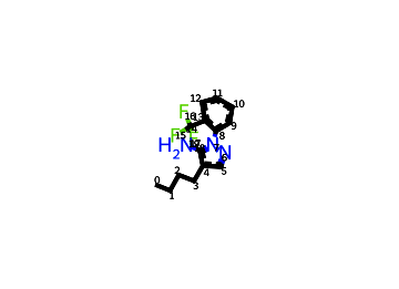 CCCCc1cnn(-c2ccccc2C(F)(F)F)c1N